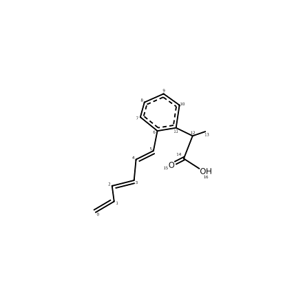 C=CC=CC=Cc1ccccc1C(C)C(=O)O